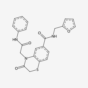 O=C(CN1C(=O)CSc2ccc(C(=O)NCc3ccco3)cc21)Nc1ccccc1